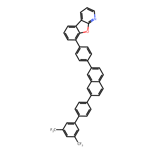 FC(F)(F)c1cc(-c2ccc(-c3ccc4ccc(-c5ccc(-c6cccc7c6oc6ncccc67)cc5)cc4c3)cc2)cc(C(F)(F)F)c1